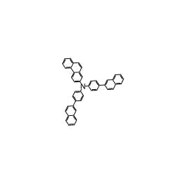 c1ccc2cc(-c3ccc(N(c4ccc(-c5ccc6ccccc6c5)cc4)c4ccc5c(ccc6ccccc65)c4)cc3)ccc2c1